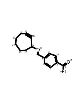 CCC(=O)c1ccc(COC2C#CCCCCC2)cc1